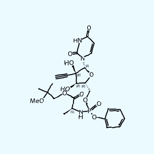 C#C[C@@]1(O)[C@H](O)[C@@H](COP(=O)(N[C@@H](C)C(=O)OCC(C)(C)OC)Oc2ccccc2)O[C@H]1n1ccc(=O)[nH]c1=O